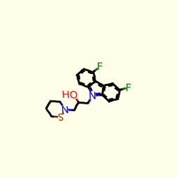 OC(CN1CCCCS1)Cn1c2ccc(F)cc2c2c(F)cccc21